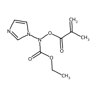 C=C(C)C(=O)ON(C(=O)OCC)n1ccnc1